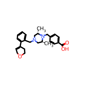 C[C@@H]1CN(Cc2ccccc2C2=CCOCC2)C[C@H](C)N1Cc1ccc(C(=O)O)cc1